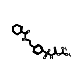 CC(C)OC(=O)NS(=O)(=O)c1ccc(CCNC(=O)C2=CCCCC2)cc1